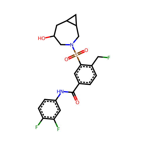 O=C(Nc1ccc(F)c(F)c1)c1ccc(CF)c(S(=O)(=O)N2CC(O)CC3CC3C2)c1